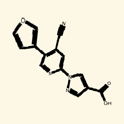 N#Cc1cc(-n2cc(C(=O)O)cn2)ncc1-c1ccoc1